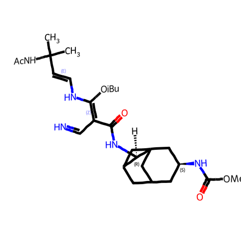 COC(=O)N[C@H]1CC2CC3CC(C2)(C1)[C@@H]3NC(=O)/C(C=N)=C(/N/C=C/C(C)(C)NC(C)=O)OCC(C)C